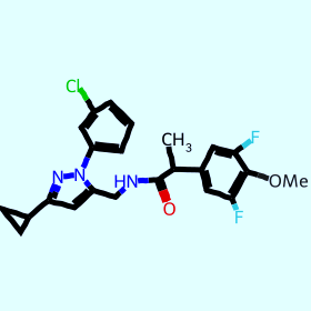 COc1c(F)cc(C(C)C(=O)NCc2cc(C3CC3)nn2-c2cccc(Cl)c2)cc1F